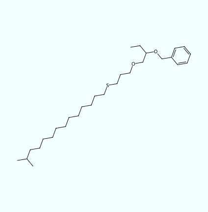 CCC(COCCCSCCCCCCCCCCCCC(C)C)OCc1ccccc1